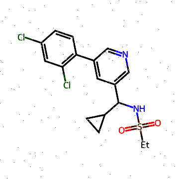 CCS(=O)(=O)NC(c1cncc(-c2ccc(Cl)cc2Cl)c1)C1CC1